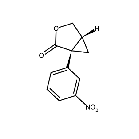 O=C1OC[C@@H]2C[C@]12c1cccc([N+](=O)[O-])c1